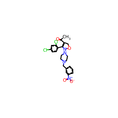 CC(=O)C1=C(c2ccc(Cl)cc2Cl)N(N2CCN(Cc3cccc([N+](=O)[O-])c3)CC2)OC1